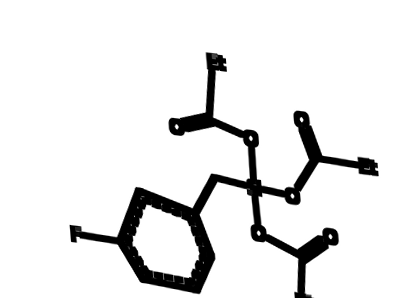 CCC(=O)O[Si](Cc1cccc(F)c1)(OC(=O)CC)OC(=O)CC